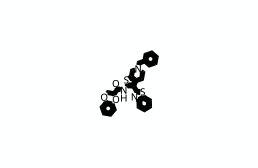 O=C(Nc1sc2c(c1-c1nc3ccccc3s1)CCN(Cc1ccccc1)C2)C1COc2ccccc2O1